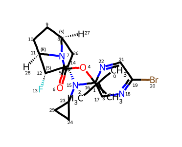 CC(C)(C)OC(=O)N1[C@H]2CC[C@@H]1[C@@H](F)[C@@H](N(c1cnc(Br)cn1)C1CC1)C2